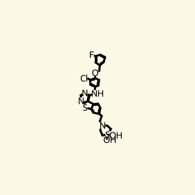 OS1(O)CCN(CCc2ccc3c(c2)sc2ncnc(Nc4ccc(OCc5cccc(F)c5)c(Cl)c4)c23)CC1